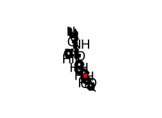 C[C@H]1CC[C@@]2(OC1)O[C@H]1C[C@H]3[C@@H]4CC[C@@H]5C[C@H](NC(=O)N(CCNC(=O)CN6CCN(C)CC6)C6CCCCC6)CC[C@]5(C)[C@H]4CC[C@]3(C)[C@H]1[C@@H]2C